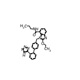 CCCNC(=O)c1cccc2nc(OCC)n(Cc3ccc(-c4ccccc4-c4nnn[nH]4)cc3)c12